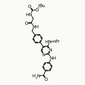 CCCNc1nc(Nc2ccc(C(N)=O)cc2)ncc1-c1ccc(CNC(=O)CNC(=O)OC(C)(C)C)cc1